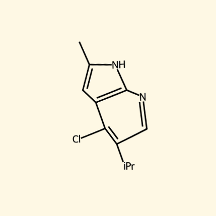 Cc1cc2c(Cl)c(C(C)C)cnc2[nH]1